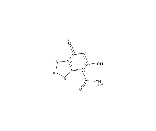 CC(=O)c1c(O)cc(=O)n2c1CCC2